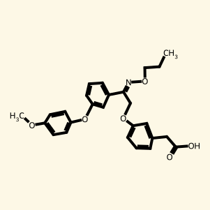 CCCO/N=C(\COc1cccc(CC(=O)O)c1)c1cccc(Oc2ccc(OC)cc2)c1